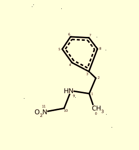 CC(Cc1ccccc1)NC[N+](=O)[O-]